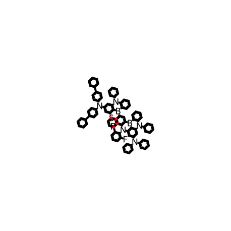 Fc1cccc(-c2ccccc2)c1N1c2cc(N(c3ccccc3)c3ccccc3)cc3c2B(c2ccccc2N3c2ccccc2)c2cc3c(c(F)c21)Sc1cc(N(c2ccc(-c4ccccc4)cc2)c2ccc(-c4ccccc4)cc2)cc2c1B3c1ccccc1N2c1ccccc1